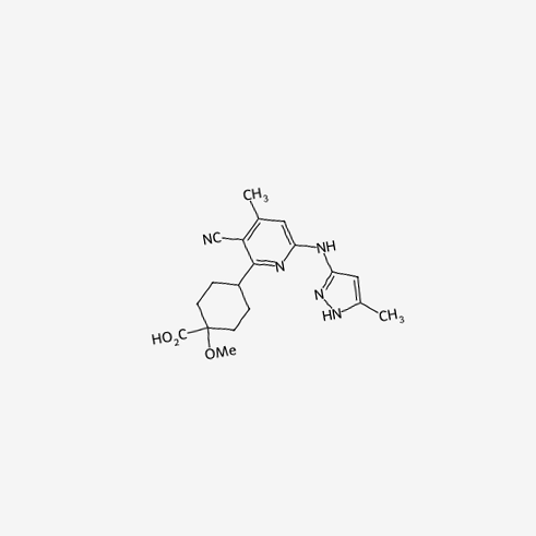 COC1(C(=O)O)CCC(c2nc(Nc3cc(C)[nH]n3)cc(C)c2C#N)CC1